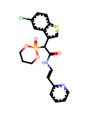 O=C(N/C=C/c1ccccn1)C(c1csc2ccc(Cl)cc12)P1(=O)OCCCO1